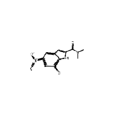 CN(C)C(=O)c1cc2cc([N+](=O)[O-])cc(Cl)c2[nH]1